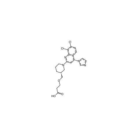 O=C(O)CCOC[C@H]1CCCN(c2cc(-n3ccnc3)c3ccc(Cl)c(Cl)c3n2)C1